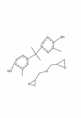 C(OCC1CO1)C1CO1.Cc1cc(C(C)(C)c2ccc(O)c(C)c2)ccc1O